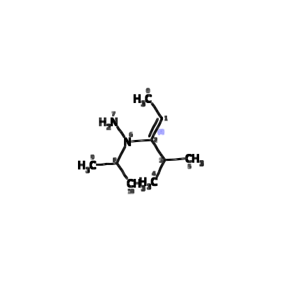 C/C=C(/C(C)C)N(N)C(C)C